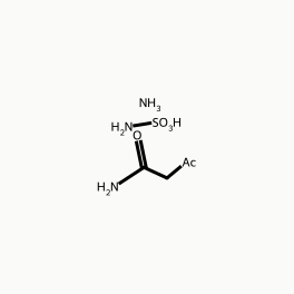 CC(=O)CC(N)=O.N.NS(=O)(=O)O